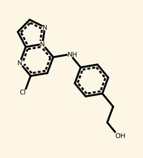 OCCc1ccc(Nc2cc(Cl)nc3ccnn23)cc1